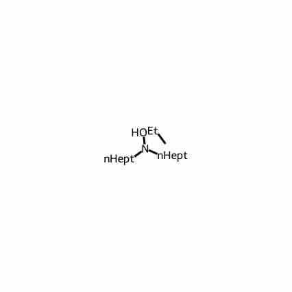 CCC.CCCCCCCN(O)CCCCCCC